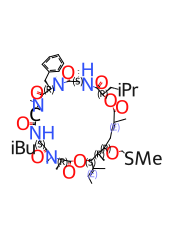 C/C=C(\C)[C@H]1OC(=O)[C@@H](C)N(C)C(=O)[C@H](C(C)CC)NC(=O)CN(C)C(=O)[C@@H](Cc2ccccc2)N(C)C(=O)[C@H](C)NC(=O)[C@@H](CC(C)C)OC(=O)/C(C)=C/C[C@@H](OCSC)[C@H]1C